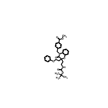 COC(=O)c1ccc(CN2C(=O)C(CCNC(=O)OC(C)(C)C)(CCOc3ccccc3)Oc3ccccc32)cc1